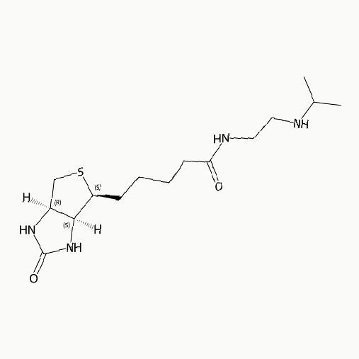 CC(C)NCCNC(=O)CCCC[C@@H]1SC[C@@H]2NC(=O)N[C@@H]21